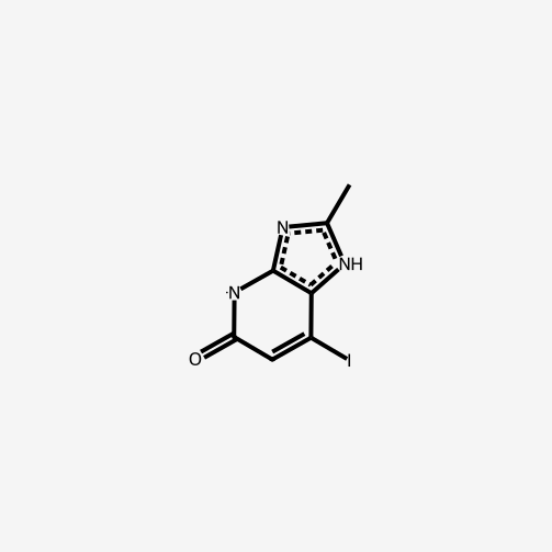 Cc1nc2c([nH]1)C(I)=CC(=O)[N]2